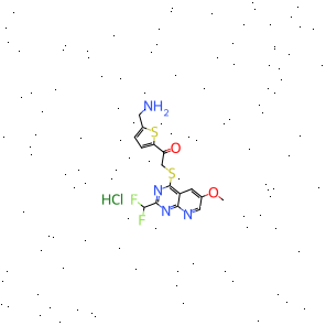 COc1cnc2nc(C(F)F)nc(SCC(=O)c3ccc(CN)s3)c2c1.Cl